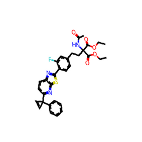 CCOC(=O)C(CCc1ccc(-c2nc3ccc(C4(c5ccccc5)C=C4)nc3s2)c(F)c1)(NC(C)=O)C(=O)OCC